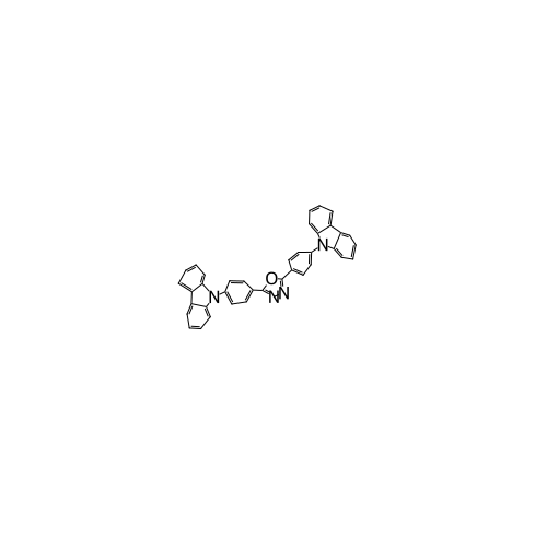 c1ccc2c(c1)c1ccccc1n2-c1ccc(-c2nnc(-c3ccc(-n4c5ccccc5c5ccccc54)cc3)o2)cc1